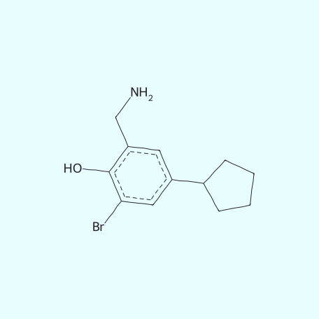 NCc1cc(C2CCCC2)cc(Br)c1O